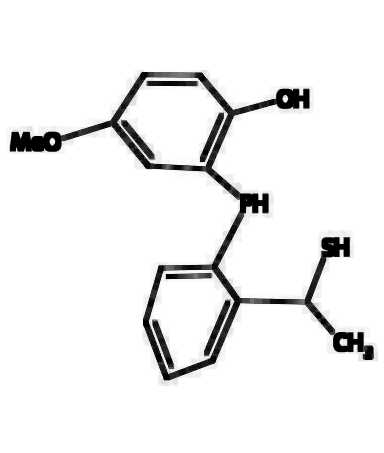 COc1ccc(O)c(Pc2ccccc2C(C)S)c1